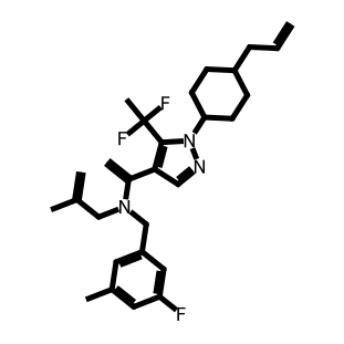 C=CCC1CCC(n2ncc(C(=C)N(CC(=C)C)Cc3cc(C)cc(F)c3)c2C(C)(F)F)CC1